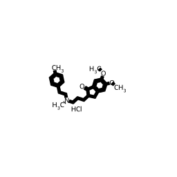 COc1cc2c(cc1OC)C(=O)C(CCCN(C)CCc1ccc(C)cc1)C2.Cl